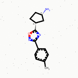 Cc1ccc(-c2noc([C@@H]3CC[C@H](N)C3)n2)cc1